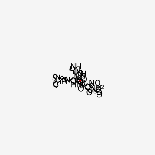 CC(C)c1ccccc1[C@@H]1CCCN1C1CC2(C1)CN(c1ccc(C(=O)NS(=O)(=O)c3cc4c(c([N+](=O)[O-])c3)N[C@H]([C@H]3COCCO3)CO4)c(N3c4cc5cc[nH]c5nc4O[C@H]4COC[C@@H]43)c1)C2